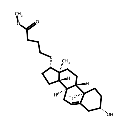 COC(=O)CCCC[C@H]1CC[C@H]2[C@@H]3CC=C4C[C@@H](O)CC[C@]4(C)[C@H]3CC[C@]12C